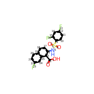 O=C(O)c1c(NS(=O)(=O)c2ccc(F)cc2F)ccc2ccc(F)cc12